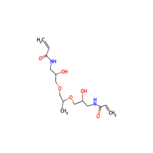 C=CC(=O)NCC(O)COCC(C)OCC(O)CNC(=O)C=C